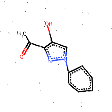 CC(=O)c1nn(-c2ccccc2)cc1O